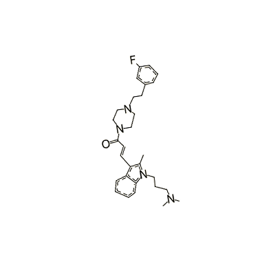 Cc1c(C=CC(=O)N2CCN(CCc3cccc(F)c3)CC2)c2ccccc2n1CCCN(C)C